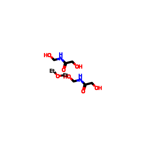 CCOCC.O=C(CO)NCO.O=C(CO)NCO